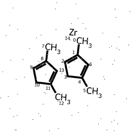 CC1=CCC(C)=C1.CC1=CCC(C)=C1.[Zr]